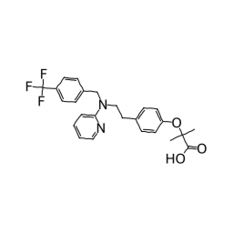 CC(C)(Oc1ccc(CCN(Cc2ccc(C(F)(F)F)cc2)c2ccccn2)cc1)C(=O)O